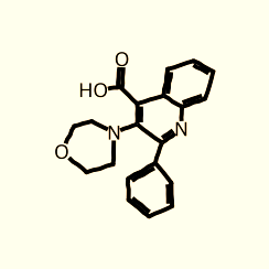 O=C(O)c1c(N2CCOCC2)c(-c2ccccc2)nc2ccccc12